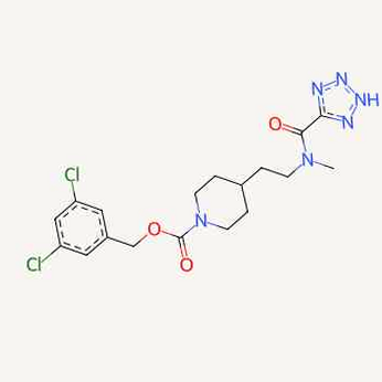 CN(CCC1CCN(C(=O)OCc2cc(Cl)cc(Cl)c2)CC1)C(=O)c1nn[nH]n1